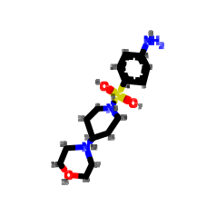 Nc1ccc(S(=O)(=O)N2CCC(N3CCOCC3)CC2)cc1